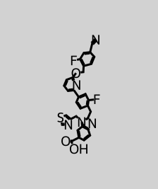 N#Cc1ccc(COc2cccc(-c3ccc(Cc4nc5ccc(C(=O)O)cc5n4Cc4cscn4)c(F)c3)n2)c(F)c1